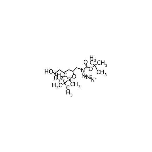 CC(C)(C)OC(=O)N(CC(CCCC(=O)O)O[Si](C)(C)C(C)(C)C)N=[N+]=[N-]